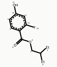 CCC(CC)COC(=O)c1ccc(O)cc1F